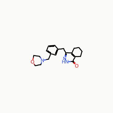 O=c1[nH]nc(Cc2cccc(CN3CCOCC3)c2)c2c1CCCC2